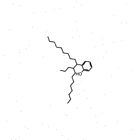 CCCCCCCCCC(c1ccccc1O)C(CCC)CCCCCCCC